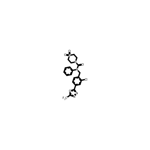 O=C(N1CCS(=O)(=O)CC1)N(Cc1ccc(-c2nnc(C(F)(F)F)o2)cc1Cl)c1ccccc1